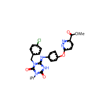 COC(=O)c1ccc(Oc2ccc(/N=c3\[nH]c(=O)n(C(C)C)c(=O)n3Cc3ccc(Cl)cc3)cc2)nn1